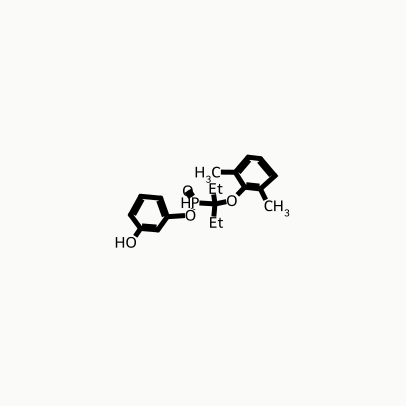 CCC(CC)(Oc1c(C)cccc1C)[PH](=O)Oc1cccc(O)c1